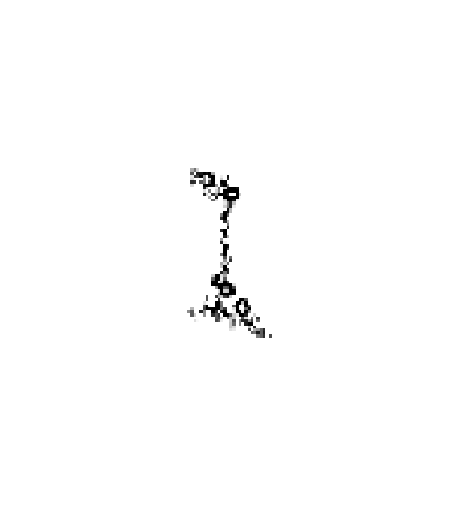 CC(C)(C)OC(=O)N[C@H]1CCCC[C@H]1Nc1nnc(C(N)=O)c(Nc2cccc3c2ccn3CCOCCOCCOCCNc2cccc3c2C(=O)N(C2CCC(=O)NC2=O)C3=O)n1